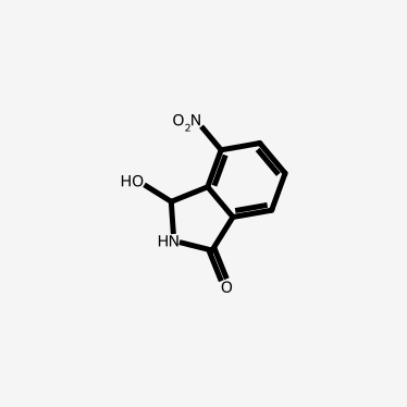 O=C1NC(O)c2c1cccc2[N+](=O)[O-]